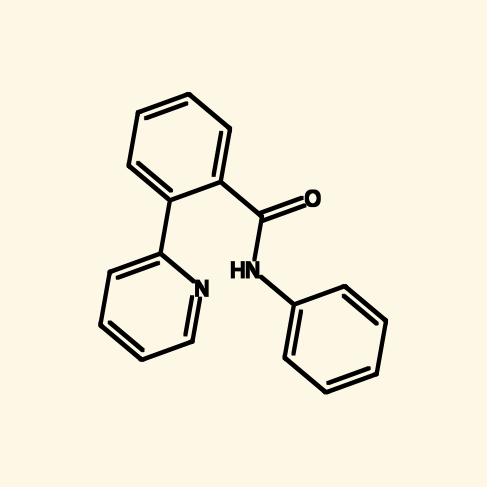 O=C(Nc1ccccc1)c1ccccc1-c1ccccn1